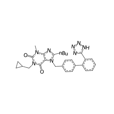 CCCCc1nc2c(c(=O)n(CC3CC3)c(=O)n2C)n1Cc1ccc(-c2ccccc2-c2nnn[nH]2)cc1